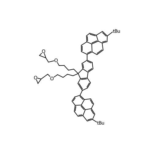 CC(C)(C)c1cc2ccc3ccc(-c4ccc5c(c4)C(CCCCOCC4CO4)(CCCCOCC4CO4)c4cc(-c6ccc7ccc8cc(C(C)(C)C)cc9ccc6c7c89)ccc4-5)c4ccc(c1)c2c34